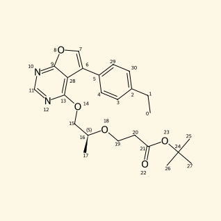 CCc1ccc(-c2coc3ncnc(OC[C@H](C)OCCC(=O)OC(C)(C)C)c23)cc1